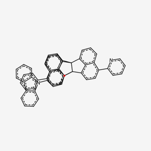 c1ccc(-c2ccc3c4c(cccc24)C24c5cccc6c(-c7ccccn7)ccc(c56)C32c2ccc(-n3c5ccccc5c5ccccc53)c3cccc4c23)nc1